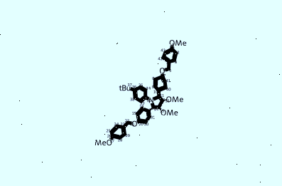 COc1ccc(COc2ccc(C3[C@H](OC)[C@@H](OC)[C@@H](c4ccc(OCc5ccc(OC)cc5)cc4)N3c3ccc(C(C)(C)C)cc3)cc2)cc1